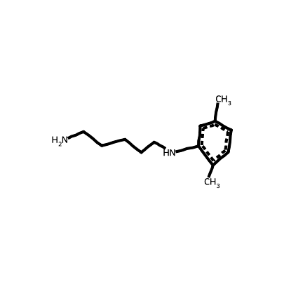 Cc1ccc(C)c(NCCCCCN)c1